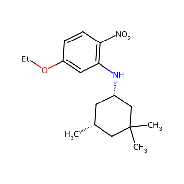 CCOc1ccc([N+](=O)[O-])c(N[C@H]2C[C@@H](C)CC(C)(C)C2)c1